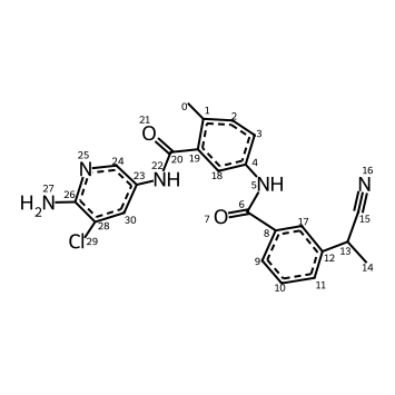 Cc1ccc(NC(=O)c2cccc(C(C)C#N)c2)cc1C(=O)Nc1cnc(N)c(Cl)c1